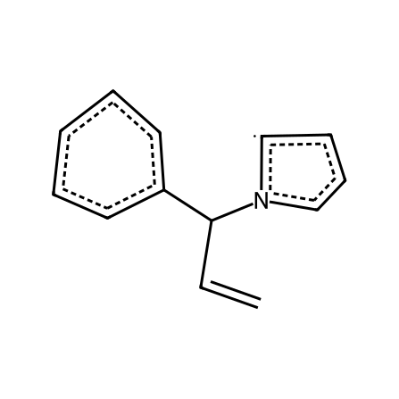 C=CC(c1ccccc1)n1[c]ccc1